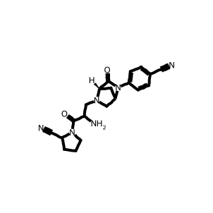 N#Cc1ccc(N2C(=O)[C@@H]3CC2CN3CC(N)C(=O)N2CCCC2C#N)cc1